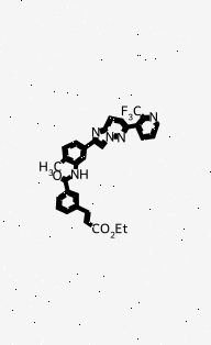 CCOC(=O)/C=C/c1cccc(C(=O)Nc2cc(-c3cn4nc(-c5cccnc5C(F)(F)F)ccc4n3)ccc2C)c1